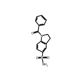 NS(=O)(=O)c1ccc2c(c1)CCN2C(=O)c1ccccc1